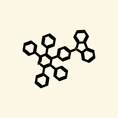 c1ccc(-c2nc(-c3ccccc3)c(-c3ccccc3)c(-c3ccc(-n4c5ccccc5c5ccccc54)cc3)c2-c2ccccc2)cc1